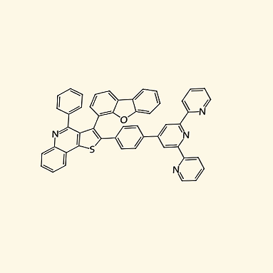 c1ccc(-c2nc3ccccc3c3sc(-c4ccc(-c5cc(-c6ccccn6)nc(-c6ccccn6)c5)cc4)c(-c4cccc5c4oc4ccccc45)c23)cc1